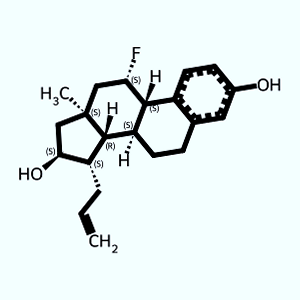 C=CC[C@H]1[C@H]2[C@@H]3CCc4cc(O)ccc4[C@H]3[C@@H](F)C[C@]2(C)C[C@@H]1O